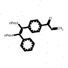 C=CC(=O)c1ccc(C(CCCCC)=C(CCCCC)c2ccccc2)cc1